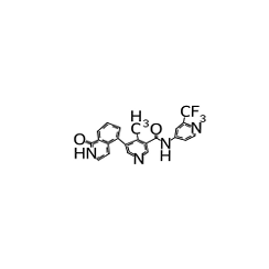 Cc1c(C(=O)Nc2ccnc(C(F)(F)F)c2)cncc1-c1cccc2c(=O)[nH]ccc12